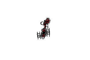 O=C(NCCCCCSc1ccc(Cl)c(CNC2(c3cnccc3-c3ccccc3OC3CC3)CC2)c1)NCC(O)C(O)C(O)C(O)CO